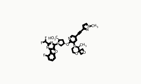 C[C@@H]1N(c2cc(C#Cc3ccn(C)n3)cnc2O[C@H]2C[C@@H](C(=O)O)N(c3nc(C(F)F)nc4c3oc3cccc(F)c34)C2)CCOC12COC2